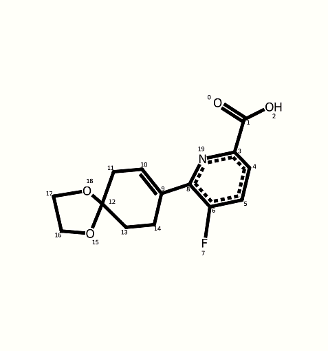 O=C(O)c1ccc(F)c(C2=CCC3(CC2)OCCO3)n1